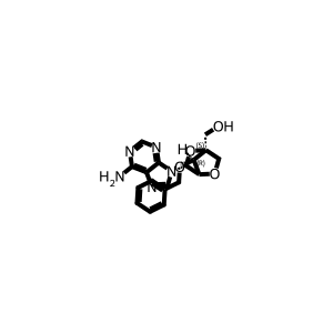 Nc1ncnc2c1ncn2[C@@H]1O[C@@]2(CO)COC1[C@H]2OCc1ccccc1